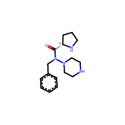 O=C([C@@H]1CCCN1)N(Cc1ccccc1)N1CCNCC1